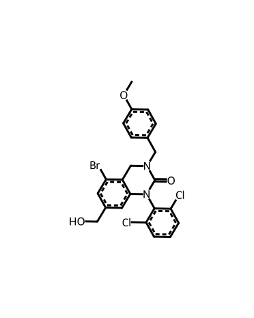 COc1ccc(CN2Cc3c(Br)cc(CO)cc3N(c3c(Cl)cccc3Cl)C2=O)cc1